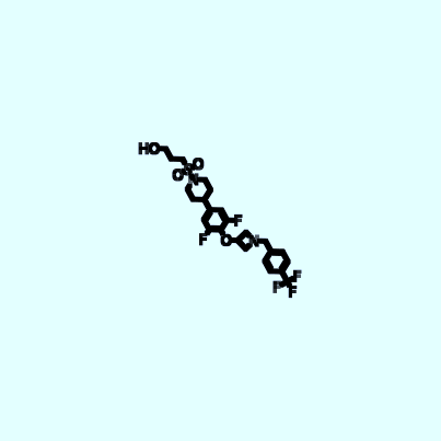 O=S(=O)(CCCO)N1CCC(c2cc(F)c(OC3CN(Cc4ccc(C(F)(F)F)cc4)C3)c(F)c2)CC1